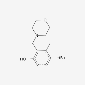 Cc1c(C(C)(C)C)c[c]c(O)c1CN1CCOCC1